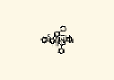 CN1C(c2ccccc2)C=C(c2ccccc2)NC1n1c2cc(-c3ccccc3)ccc2c2c3sc4ccccc4c3ccc21